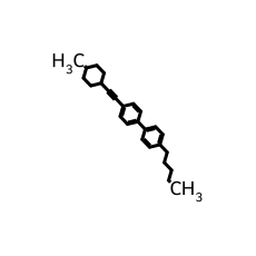 CCCCCc1ccc(-c2ccc(C#CC3CCC(C)CC3)cc2)cc1